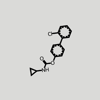 O=C(NC1CC1)Oc1ccc(-c2ccccc2Cl)cc1